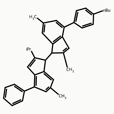 CCCCc1ccc(-c2cc(C)cc3c2C=C(C)[C]3C2C(C(C)C)=Cc3c(-c4ccccc4)cc(C)cc32)cc1